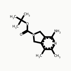 Cc1nc(N)c2c(c1C)CN(C(=O)OC(C)(C)C)C2